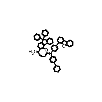 C=C1/C=C\C=C(\N(c2ccc(-c3ccccc3)cc2)c2ccc(-c3cccc4c3oc3ccccc34)cc2)Oc2c1ccc1c2-c2ccccc2C1(c1ccccc1)c1ccccc1